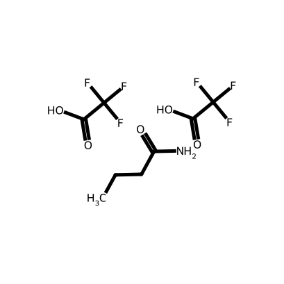 CCCC(N)=O.O=C(O)C(F)(F)F.O=C(O)C(F)(F)F